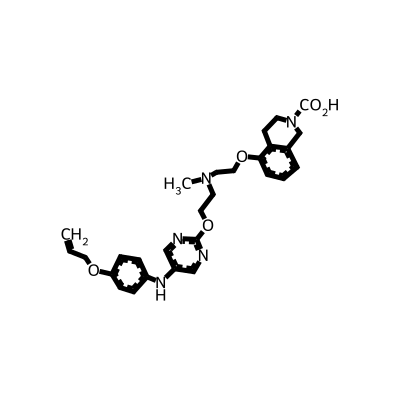 C=CCOc1ccc(Nc2cnc(OCCN(C)CCOc3cccc4c3CCN(C(=O)O)C4)nc2)cc1